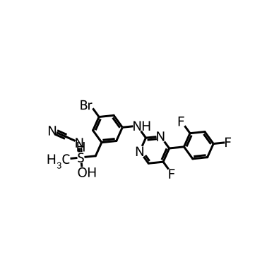 C[SH](O)(Cc1cc(Br)cc(Nc2ncc(F)c(-c3ccc(F)cc3F)n2)c1)=NC#N